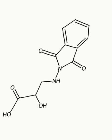 O=C(O)C(O)CNN1C(=O)c2ccccc2C1=O